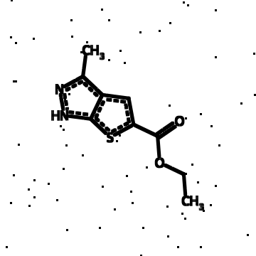 CCOC(=O)c1cc2c(C)n[nH]c2s1